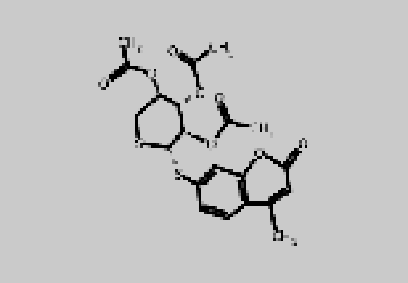 CC(=O)O[C@@H]1[C@@H](OC(C)=O)[C@H](Sc2ccc3c(C)cc(=O)oc3c2)SC[C@H]1OC(C)=O